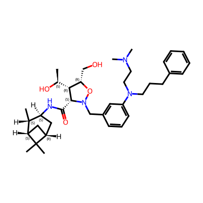 C[C@@H]1[C@@H](NC(=O)[C@@H]2[C@H]([C@H](C)O)[C@H](CO)ON2Cc2cccc(N(CCCc3ccccc3)CCN(C)C)c2)C[C@H]2C[C@@H]1C2(C)C